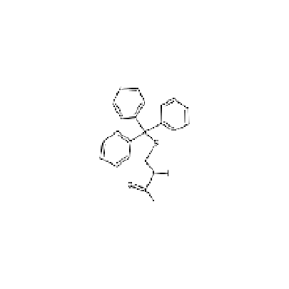 CC(=O)C(I)CSC(c1ccccc1)(c1ccccc1)c1ccccc1